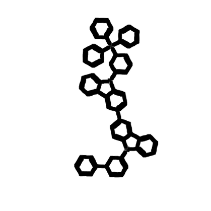 C1=CC(c2ccccc2)CC(n2c3ccccc3c3cc(-c4ccc5c(c4)c4ccccc4n5C4=CC=CC([Si](c5ccccc5)(c5ccccc5)c5ccccc5)C4)ccc32)=C1